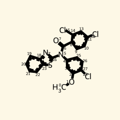 COc1cc(N(C(=O)c2ccc(Cl)cc2Cl)c2nc3ccccc3s2)ccc1Cl